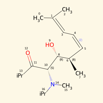 CC(C)=C/C=C\[C@@H](C)[C@@H](O)[C@@H](C(=O)C(C)C)N(C)C(C)C